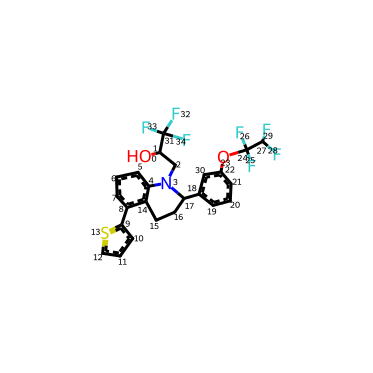 OC(CN1c2cccc(-c3cccs3)c2CCC1c1cccc(OC(F)(F)C(F)F)c1)C(F)(F)F